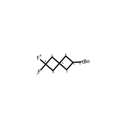 CC(C)(C)C1CC2(C1)CC(F)(F)C2